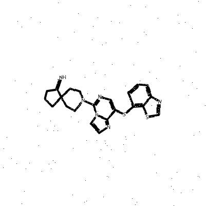 N=C1CCCC12CCN(c1ncc(Sc3cccc4ncsc34)c3nccn13)CC2